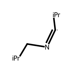 CC(C)/[C]=N\CC(C)C